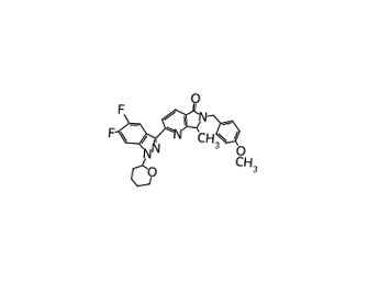 COc1ccc(CN2C(=O)c3ccc(-c4nn(C5CCCCO5)c5cc(F)c(F)cc45)nc3C2C)cc1